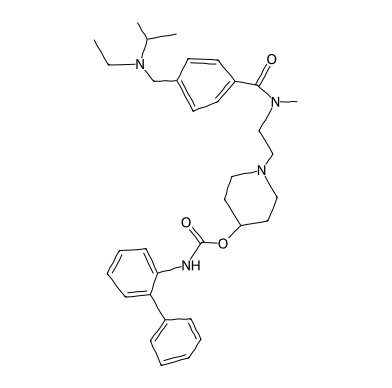 CCN(Cc1ccc(C(=O)N(C)CCN2CCC(OC(=O)Nc3ccccc3-c3ccccc3)CC2)cc1)C(C)C